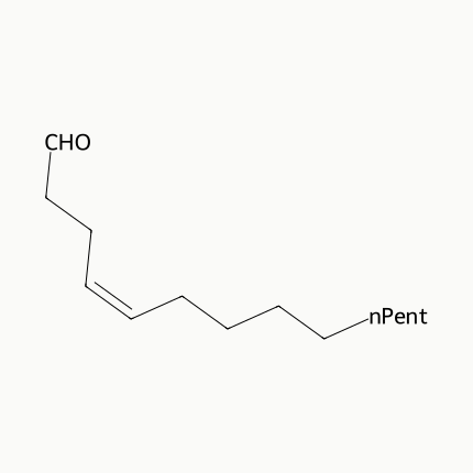 CCCCCCCCC/C=C\CCC=O